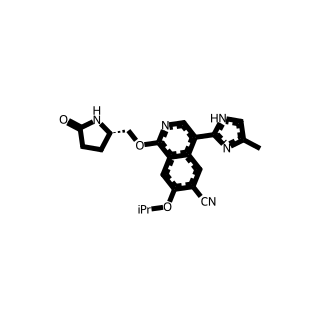 Cc1c[nH]c(-c2cnc(OC[C@@H]3CCC(=O)N3)c3cc(OC(C)C)c(C#N)cc23)n1